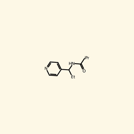 CCC(NC(=O)C(C)C)c1ccncc1